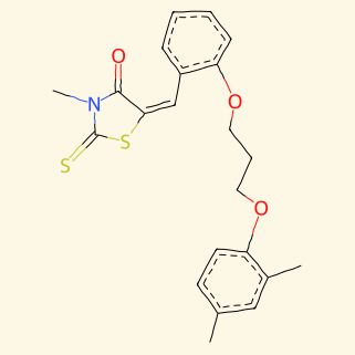 Cc1ccc(OCCCOc2ccccc2C=C2SC(=S)N(C)C2=O)c(C)c1